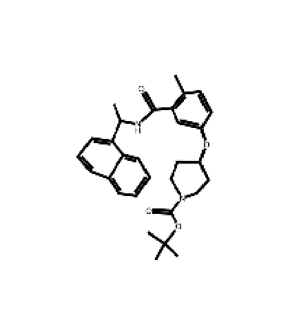 Cc1ccc(OC2CCN(C(=O)OC(C)(C)C)CC2)cc1C(=O)NC(C)c1cccc2ccccc12